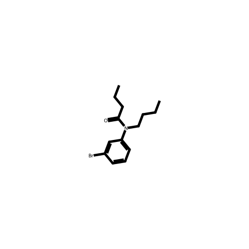 CCCCN(C(=O)CCC)c1cccc(Br)c1